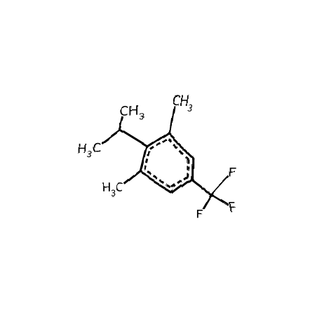 Cc1cc(C(F)(F)F)cc(C)c1C(C)C